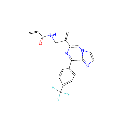 C=CC(=O)NCC(=C)c1cn2ccnc2c(-c2ccc(C(F)(F)F)cc2)n1